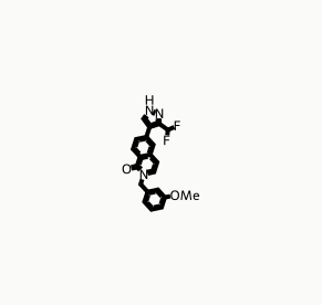 COc1cccc(Cn2ccc3cc(-c4c[nH]nc4C(F)F)ccc3c2=O)c1